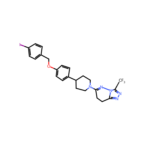 FC(F)(F)c1nnc2n1N=C(N1CCC(c3ccc(OCc4ccc(I)cc4)cc3)CC1)CC2